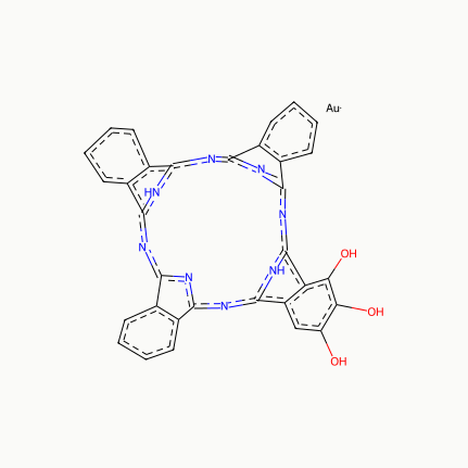 Oc1cc2c3nc4nc(nc5[nH]c(nc6nc(nc([nH]3)c2c(O)c1O)-c1ccccc1-6)c1ccccc51)-c1ccccc1-4.[Au]